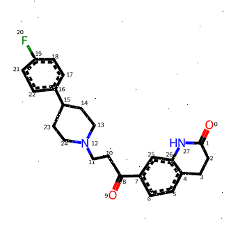 O=C1CCc2ccc(C(=O)CCN3CCC(c4ccc(F)cc4)CC3)cc2N1